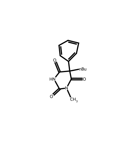 CCCCC1(c2ccccc2)C(=O)NC(=O)N(C)C1=O